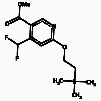 COC(=O)c1cnc(OCCS(C)(C)C)cc1C(F)F